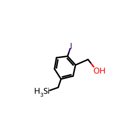 OCc1cc(C[SiH3])ccc1I